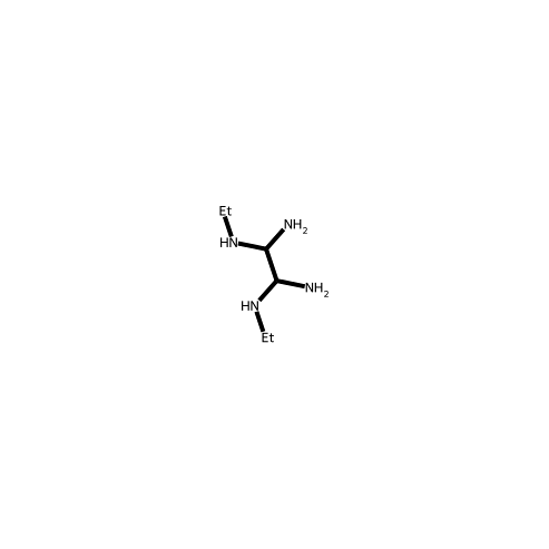 CCNC(N)C(N)NCC